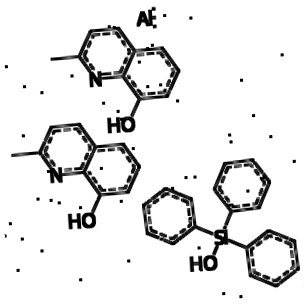 Cc1ccc2cccc(O)c2n1.Cc1ccc2cccc(O)c2n1.O[Si](c1ccccc1)(c1ccccc1)c1ccccc1.[Al]